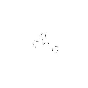 Cc1cc(C)cc(N(C)C(=O)C(=O)c2cc(C)cnc2C2=NC(C)(C(C)C)C(=O)N2)c1